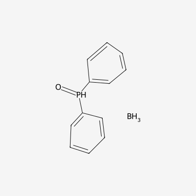 B.O=[PH](c1ccccc1)c1ccccc1